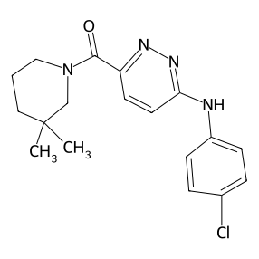 CC1(C)CCCN(C(=O)c2ccc(Nc3ccc(Cl)cc3)nn2)C1